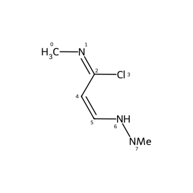 C/N=C(Cl)\C=C/NNC